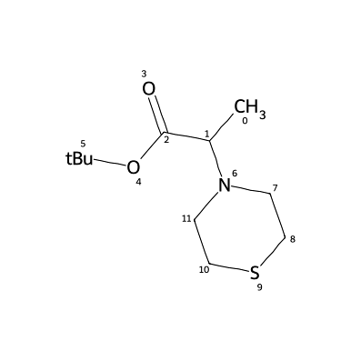 CC(C(=O)OC(C)(C)C)N1CCSCC1